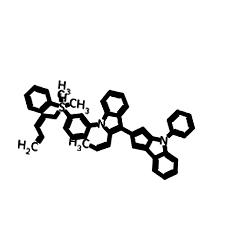 C=C/C=C\C[SH](C)(C)(c1ccccc1)c1cccc(-n2c(/C=C\C)c(C3=C=c4c(c5ccccc5n4-c4ccccc4)=C3)c3ccccc32)c1